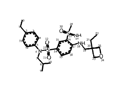 CCc1ccc(N(CC(C)C)S(=O)(=O)c2ccc(NCC3(CC)COC3)c(S(C)(=N)=O)c2)cc1